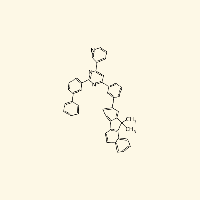 CC1(C)c2cc(-c3cccc(-c4cc(-c5cccnc5)nc(-c5cccc(-c6ccccc6)c5)n4)c3)ccc2-c2ccc3ccccc3c21